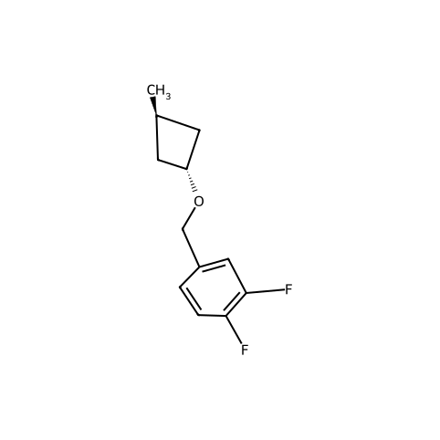 C[C@H]1C[C@H](OCc2ccc(F)c(F)c2)C1